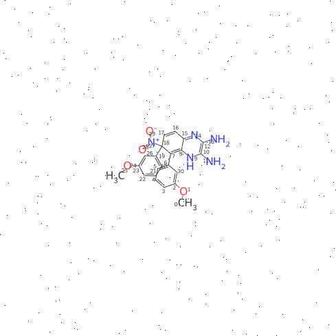 COc1cccc(C2=C3NC(N)=C(N)N=C3C=CC2(c2cccc(OC)c2)[N+](=O)[O-])c1